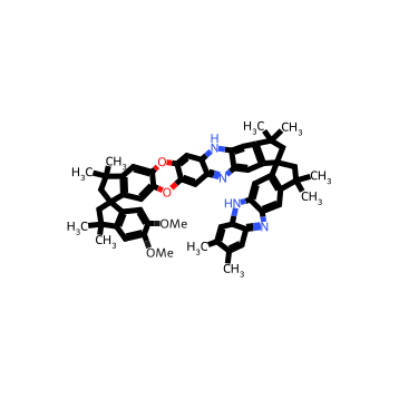 COc1cc2c(cc1OC)C1(CC2(C)C)CC(C)(C)c2cc3c(cc21)OC1=CC2=Nc4cc5c(cc4NC2C=C1O3)C(C)(C)CC51CC(C)(C)c2cc3c(cc21)NC1C=C(C)C(C)=CC1=N3